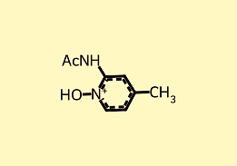 CC(=O)Nc1cc(C)cc[n+]1O